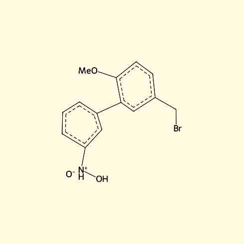 COc1ccc(CBr)cc1-c1cccc([NH+]([O-])O)c1